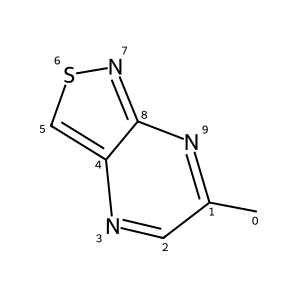 Cc1cnc2csnc2n1